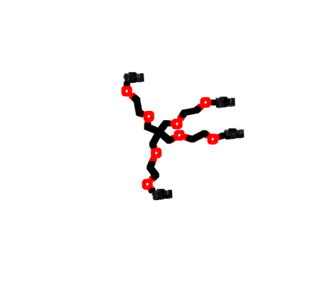 CC(C)(C)OCCOCC(COCCOC(C)(C)C)(COCCOC(C)(C)C)COCCOC(C)(C)C